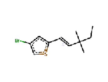 CCC(C)(C)/C=C/c1cc(Br)cs1